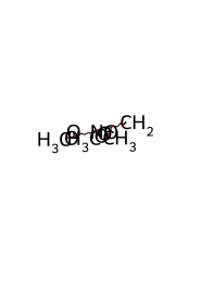 C=CCCCC(CCCN(CCCCCCC(=O)OCC)C(C)=O)OC(C)=O